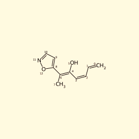 C=C/C=C\C(O)=C(/C)c1ccno1